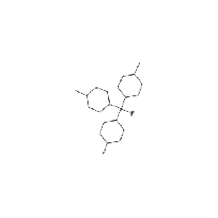 CC1CCC(C(F)(C2CCC(C)CC2)C2CCC(C)CC2)CC1